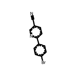 N#Cc1ccc(-c2ccc(Br)cc2)nc1